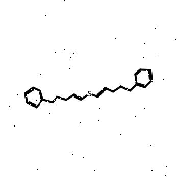 C(=CSC=CCCCc1ccccc1)CCCc1ccccc1